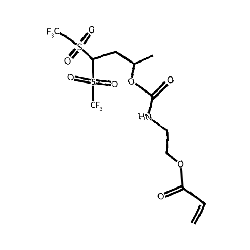 C=CC(=O)OCCNC(=O)OC(C)CC(S(=O)(=O)C(F)(F)F)S(=O)(=O)C(F)(F)F